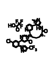 C[C@@H]1CCC[C@H](n2cnc(-c3cc(Cl)ccc3-n3cc(C(F)(F)F)cn3)cc2=O)c2cc(ccn2)-c2c(cnn2C)NC1=O.O=C(O)C(F)(F)F